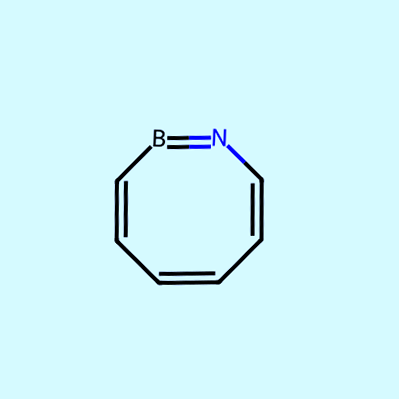 B1=N\C=C/C=C\C=C/1